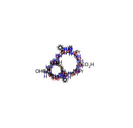 CC(C)C[C@@H]1NC(=O)[C@H](Cc2cnc[nH]2)NC(=O)[C@H](Cc2c[nH]c3ccccc23)NC(=O)[C@H](C)NC(=O)[C@@H]2CSSC[C@H](NC(=O)[C@H](Cc3c[nH]c4ccccc34)NC(=O)[C@H](C(C)C)NC(=O)[C@H](CC(C)C)NC(=O)[C@H](CCC(=O)O)NC(=O)CNC1=O)C(=O)N[C@@H]([C@@H](C)O)C(=O)N1CCC[C@@H]1C(=O)N1C[C@@H](NC=O)C[C@H]1C(=O)N[C@@H](CC(=O)O)C(=O)N2